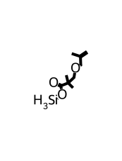 C=C(C)COCC(C)(C)C(=O)O[SiH3]